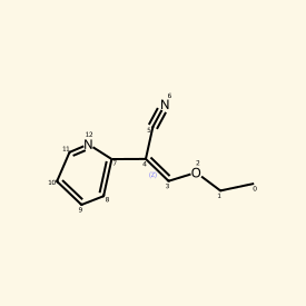 CCO/C=C(\C#N)c1ccccn1